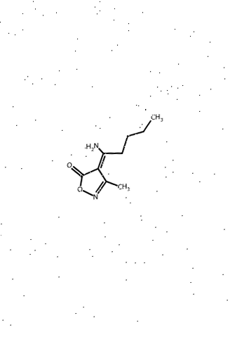 CCCCC(N)=C1C(=O)ON=C1C